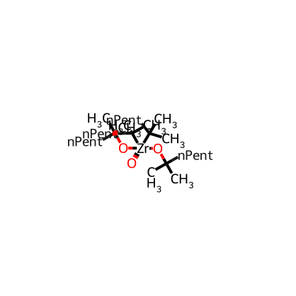 CCCCCC(C)(C)[O][Zr](=[O])([O]C(C)(C)CCCCC)([C](C)(C)CCCCC)[C](C)(C)CCCCC